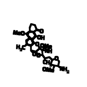 COc1c2c(c(O)c3c4c(c(C)cc13)C1OC3(C(C)CC5CC(OC)C(N)CO5)OC1[C@@](OC)(O4)[C@@]31CN1)C(=O)CCC2